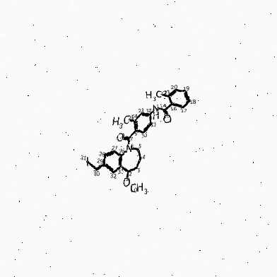 COC1CCCN(C(=O)c2ccc(NC(=O)c3ccccc3C)cc2C)c2ccc(CI)cc21